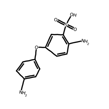 Nc1ccc(Oc2ccc(N)c(S(=O)(=O)O)c2)cc1